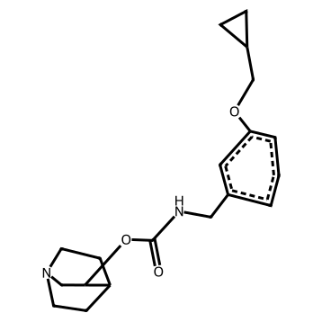 O=C(NCc1cccc(OCC2CC2)c1)OC1CN2CCC1CC2